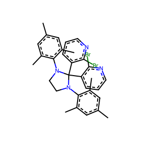 Cc1cc(C)c(N2CCN(c3c(C)cc(C)cc3C)C2(c2cccnc2Br)c2cccnc2Br)c(C)c1